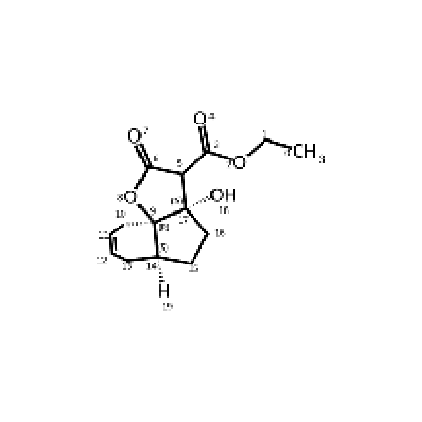 CCOC(=O)C1C(=O)O[C@]23CC=CC[C@@H]2CC[C@]13O